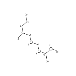 [CH2]CCC(C)COCOC(C)OC